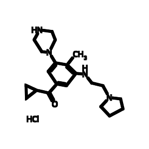 Cc1c(NCCN2CCCC2)cc(C(=O)C2CC2)cc1N1CCNCC1.Cl